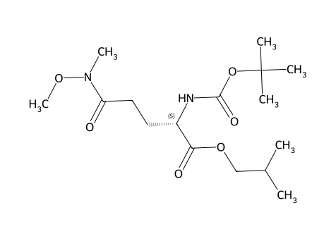 CON(C)C(=O)CC[C@H](NC(=O)OC(C)(C)C)C(=O)OCC(C)C